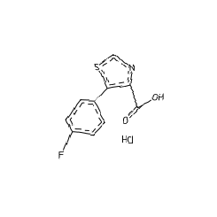 Cl.O=C(O)c1ncsc1-c1ccc(F)cc1